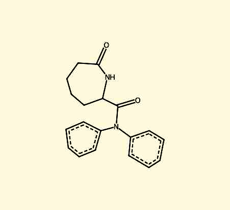 O=C1CCCCC(C(=O)N(c2ccccc2)c2ccccc2)N1